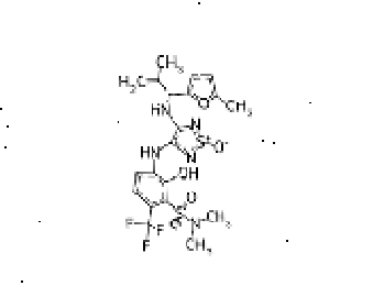 C=C(C)[C@@H](Nc1n[s+]([O-])nc1Nc1ccc(C(F)(F)F)c(S(=O)(=O)N(C)C)c1O)c1ccc(C)o1